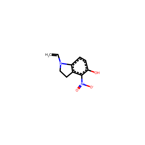 C=CN1CCc2c1ccc(O)c2[N+](=O)[O-]